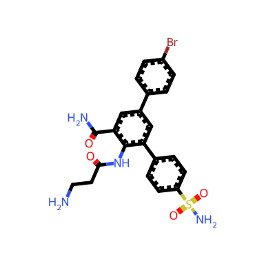 NCCC(=O)Nc1c(C(N)=O)cc(-c2ccc(Br)cc2)cc1-c1ccc(S(N)(=O)=O)cc1